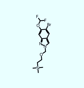 C[Si](C)(C)CCOCn1cc2cc(Br)c(OC(F)F)cc2n1